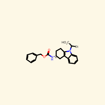 CCC(C(=O)O)n1c2c(c3ccccc31)C[C@H](NC(=O)OCc1ccccc1)CC2